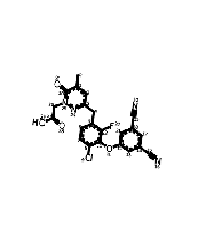 Cc1cc(Cc2ccc(Cl)c(Oc3cc(C#N)cc(C#N)c3)c2F)nn(CC(=O)O)c1=O